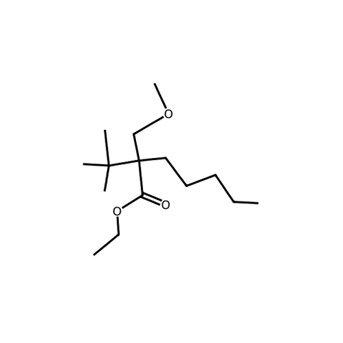 CCCCCC(COC)(C(=O)OCC)C(C)(C)C